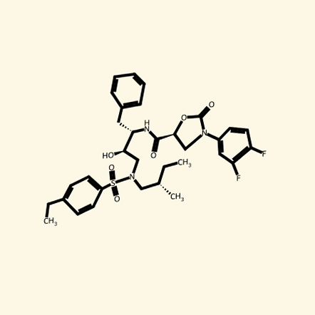 CCc1ccc(S(=O)(=O)N(C[C@@H](C)CC)C[C@@H](O)[C@H](Cc2ccccc2)NC(=O)[C@@H]2CN(c3ccc(F)c(F)c3)C(=O)O2)cc1